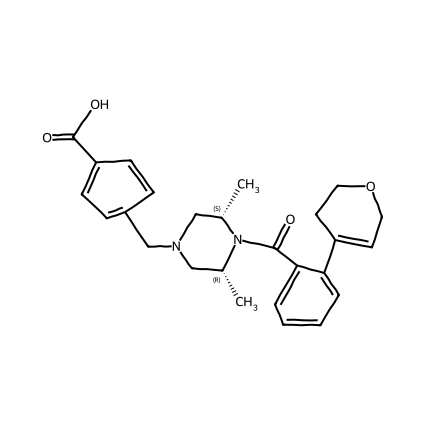 C[C@@H]1CN(Cc2ccc(C(=O)O)cc2)C[C@H](C)N1C(=O)c1ccccc1C1=CCOCC1